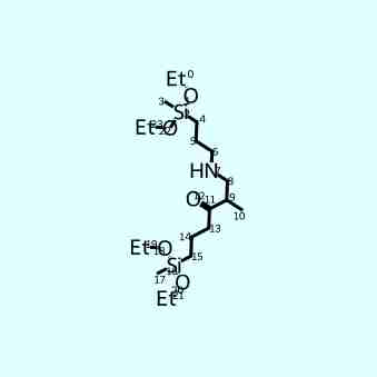 CCO[Si](C)(CCCNCC(C)C(=O)CCC[Si](C)(OCC)OCC)OCC